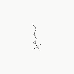 C[Si](C)(C)OC=CCI